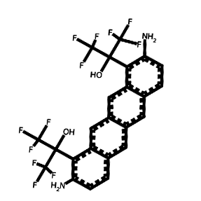 Nc1ccc2cc3cc4ccc(N)c(C(O)(C(F)(F)F)C(F)(F)F)c4cc3cc2c1C(O)(C(F)(F)F)C(F)(F)F